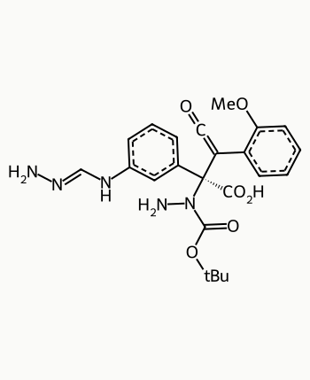 COc1ccccc1C(=C=O)[C@](C(=O)O)(c1cccc(NC=NN)c1)N(N)C(=O)OC(C)(C)C